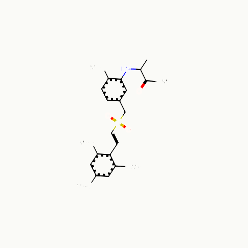 COC(=O)C(C)Nc1cc(CS(=O)(=O)/C=C/c2c(OC)cc(OC)cc2OC)ccc1OC